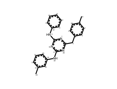 Cc1ccc(Cc2nc(Nc3ccccc3)nc(Nc3cccc(C)c3)n2)cc1